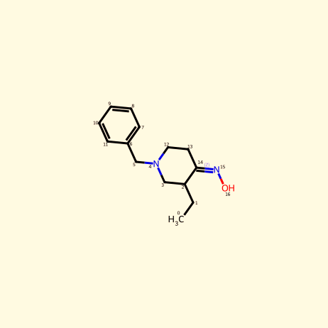 CCC1CN(Cc2ccccc2)CC/C1=N/O